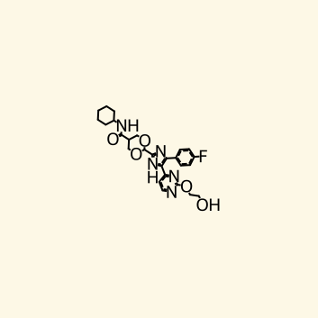 O=C(NC1CCCCC1)C1COC(c2nc(-c3ccc(F)cc3)c(-c3ccnc(OCCO)n3)[nH]2)OC1